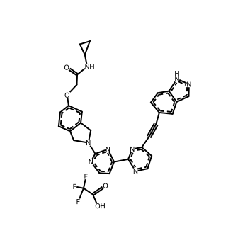 O=C(COc1ccc2c(c1)CN(c1nccc(-c3nccc(C#Cc4ccc5[nH]ncc5c4)n3)n1)C2)NC1CC1.O=C(O)C(F)(F)F